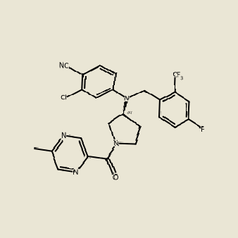 Cc1cnc(C(=O)N2CC[C@H](N(Cc3ccc(F)cc3C(F)(F)F)c3ccc(C#N)c(Cl)c3)C2)cn1